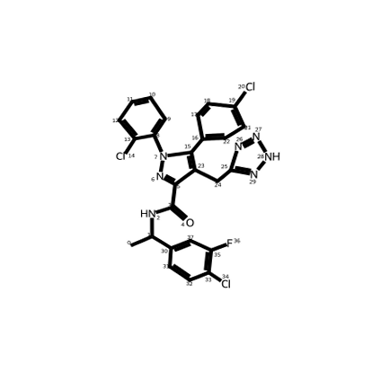 CC(NC(=O)c1nn(-c2ccccc2Cl)c(-c2ccc(Cl)cc2)c1Cc1nn[nH]n1)c1ccc(Cl)c(F)c1